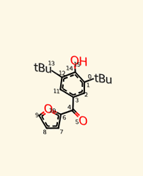 CC(C)(C)c1cc(C(=O)c2ccco2)cc(C(C)(C)C)c1O